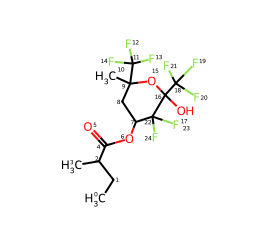 CCC(C)C(=O)OC1CC(C)(C(F)(F)F)OC(O)(C(F)(F)F)C1(F)F